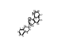 c1ccc2c(c1)CCC(N1COc3c(ccc4cccnc34)C1)C2